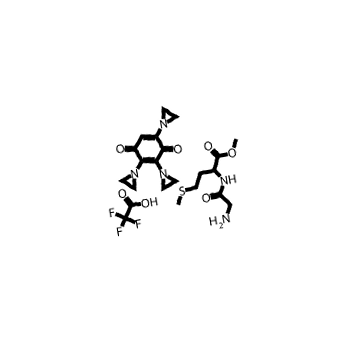 COC(=O)C(CCSC)NC(=O)CN.O=C(O)C(F)(F)F.O=C1C=C(N2CC2)C(=O)C(N2CC2)=C1N1CC1